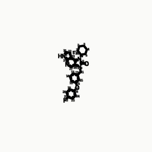 C[C@@H]1CCCC[C@@H]1n1c(=O)n(Cc2cccc(Oc3ccc(F)cc3)c2)c2cnc3[nH]ccc3c21